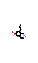 CCCc1cc(OC)cc2ccncc12